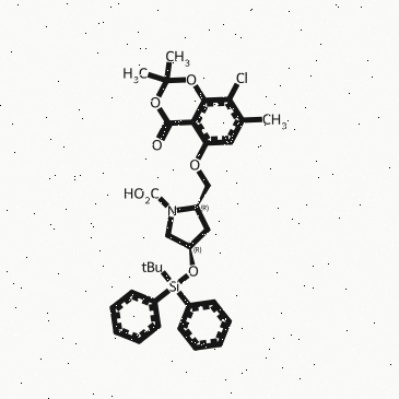 Cc1cc(OC[C@H]2C[C@@H](O[Si](c3ccccc3)(c3ccccc3)C(C)(C)C)CN2C(=O)O)c2c(c1Cl)OC(C)(C)OC2=O